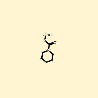 O=COC(=O)N1CCCCC1